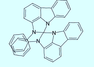 c1ccc(N2c3cccc4c5ccccc5n(c34)C23N(c2ccccc2)c2cccc4c5ccccc5n3c24)cc1